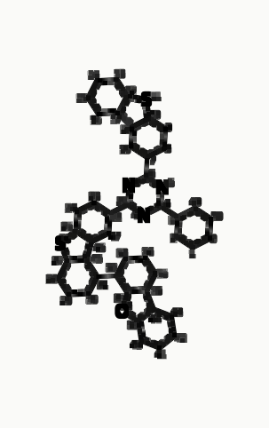 c1ccc(-c2nc(-c3ccc4sc5ccccc5c4c3)nc(-c3ccc4sc5cccc(-c6cccc7c6oc6ccccc67)c5c4c3)n2)cc1